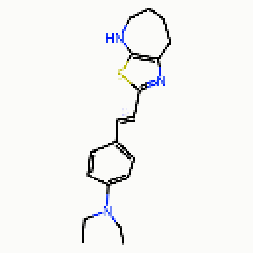 CCN(CC)c1ccc(/C=C/c2nc3c(s2)NCCCC3)cc1